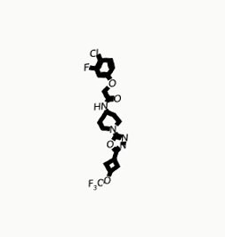 O=C(COc1ccc(Cl)c(F)c1)NC1CCN(c2nnc(C3CC(OC(F)(F)F)C3)o2)CC1